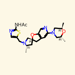 CC(=O)Nc1ncc(CN2C[C@@]3(Cc4cc(N5C[C@@H](C)O[C@H](C)C5)ncc4O3)C[C@@H]2C)s1